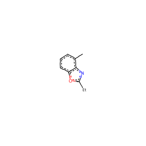 CCc1nc2c(C)cccc2o1